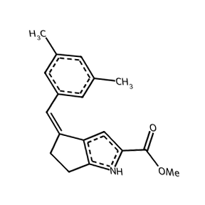 COC(=O)c1cc2c([nH]1)CCC2=Cc1cc(C)cc(C)c1